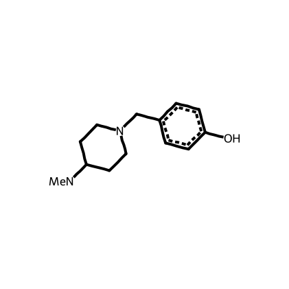 CNC1CCN(Cc2ccc(O)cc2)CC1